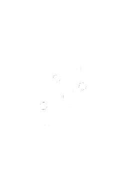 OC1COCCCCOCC(OO[C@H]2COc3ccccc3OC[C@H](O)COc3ccccc3OC2)COc2ccccc2OC1